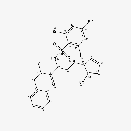 CN(Cc1ccccc1)C(=O)C(CCn1cccc1C#N)NS(=O)(=O)c1c(F)cc(F)cc1Br